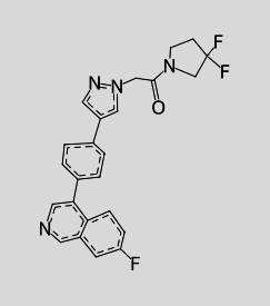 O=C(Cn1cc(-c2ccc(-c3cncc4cc(F)ccc34)cc2)cn1)N1CCC(F)(F)C1